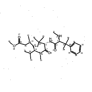 CN[C@H](C(=O)N[C@H](C(=O)N(C)[C@H](CN(C)CC(=O)OC)C(C)C)C(C)(C)C)C(C)(C)c1ccccc1